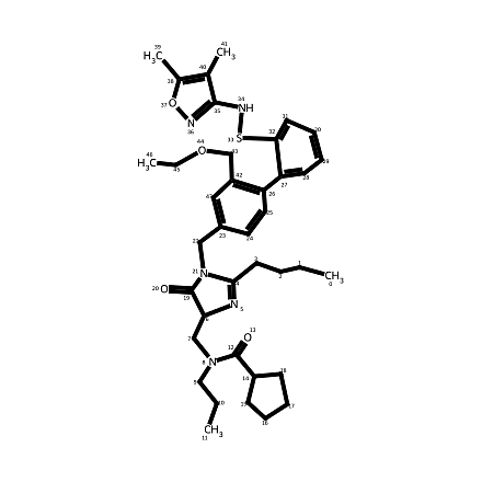 CCCCC1=NC(CN(CCC)C(=O)C2CCCC2)C(=O)N1Cc1ccc(-c2ccccc2SNc2noc(C)c2C)c(COCC)c1